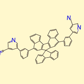 N#Cc1cncc(-c2cccc(-c3cc4c(c5ccccc35)-c3c(cc(-c5cccc(-c6cncc(C#N)c6)c5)c5ccccc35)C43c4ccccc4-c4ccccc43)c2)c1